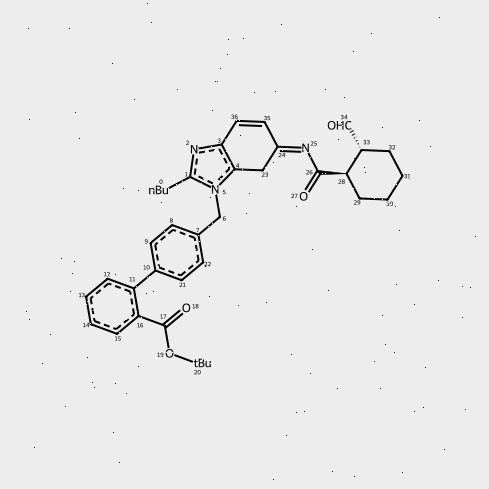 CCCCc1nc2c(n1Cc1ccc(-c3ccccc3C(=O)OC(C)(C)C)cc1)CC(=NC(=O)[C@@H]1CCCC[C@H]1C=O)C=C2